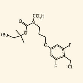 CC(C)(C)CC(C)(C)OC(=O)N(CCCOc1cc(F)c(CCl)c(F)c1)C(=O)O